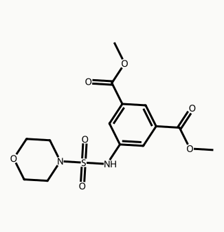 COC(=O)c1cc(NS(=O)(=O)N2CCOCC2)cc(C(=O)OC)c1